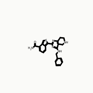 NC(=O)c1cccc2c(-c3nc4c(c(NCc5ccccc5)n3)CNCC4)scc12